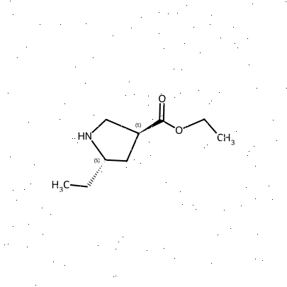 CCOC(=O)[C@@H]1CN[C@@H](CC)C1